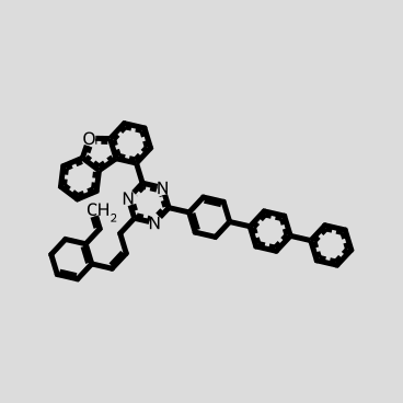 C=CC1=C(/C=C\Cc2nc(C3=CCC(c4ccc(-c5ccccc5)cc4)C=C3)nc(-c3cccc4oc5ccccc5c34)n2)C=CCC1